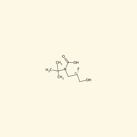 CC(C)(C)N(C[C@H](F)CO)C(=O)O